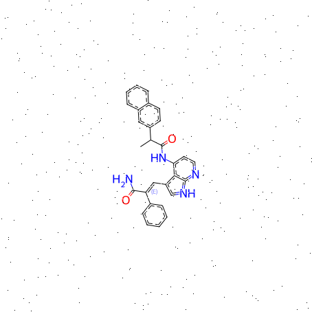 CC(C(=O)Nc1ccnc2[nH]cc(/C=C(/C(N)=O)c3ccccc3)c12)c1ccc2ccccc2c1